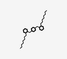 CCCCCCCCc1ccccc1Cc1ccc(Cc2ccccc2CCCCCCCC)cc1